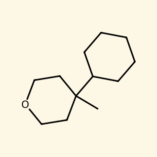 CC1(C2CCCCC2)CCOCC1